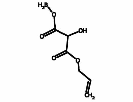 BOC(=O)C(O)C(=O)OCC=C